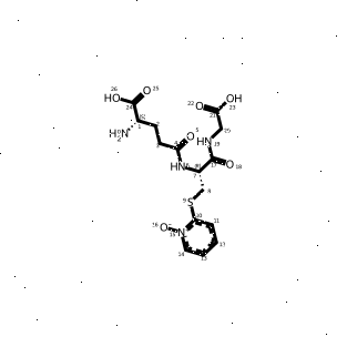 N[C@@H](CCC(=O)N[C@@H](CSc1cccc[n+]1[O-])C(=O)NCC(=O)O)C(=O)O